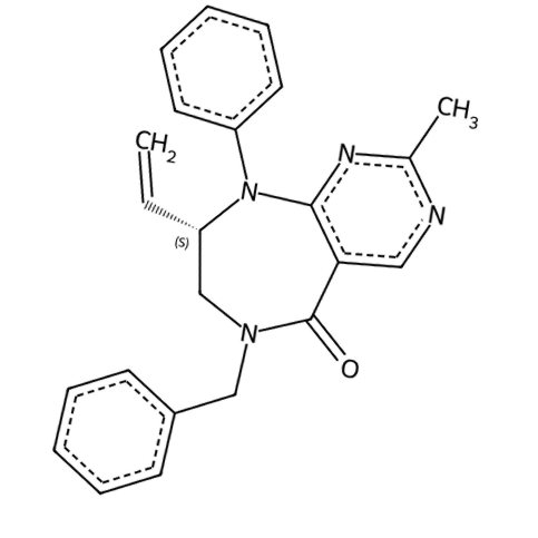 C=C[C@H]1CN(Cc2ccccc2)C(=O)c2cnc(C)nc2N1c1ccccc1